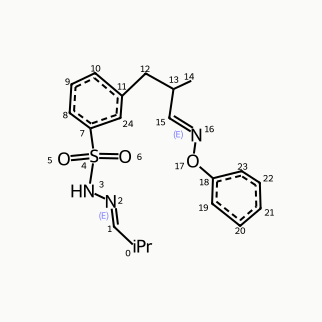 CC(C)/C=N/NS(=O)(=O)c1cccc(CC(C)/C=N/Oc2ccccc2)c1